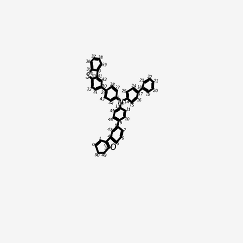 C1=Cc2c(oc3ccc(-c4ccc(N(c5ccc(-c6ccccc6)cc5)c5ccc(-c6ccc7sc8ccccc8c7c6)cc5)cc4)cc23)CC1